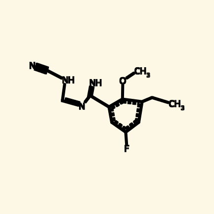 CCc1cc(F)cc(C(=N)/N=C\NC#N)c1OC